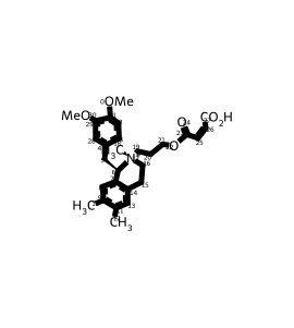 COc1ccc(C[C@@H]2c3cc(C)c(C)cc3CC[N@@+]2(C)CCCOC(=O)/C=C\C(=O)O)cc1OC